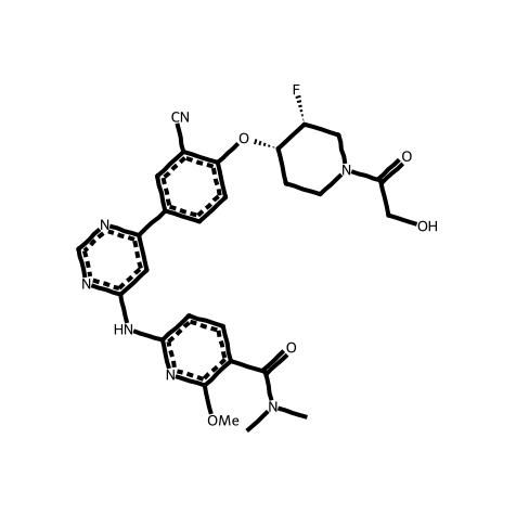 COc1nc(Nc2cc(-c3ccc(O[C@H]4CCN(C(=O)CO)C[C@H]4F)c(C#N)c3)ncn2)ccc1C(=O)N(C)C